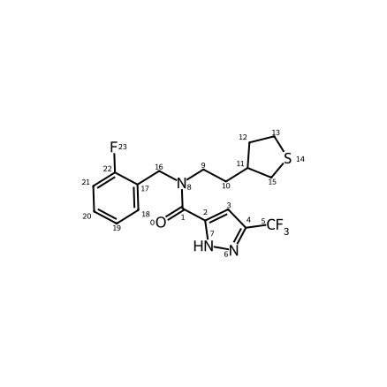 O=C(c1cc(C(F)(F)F)n[nH]1)N(CCC1CCSC1)Cc1ccccc1F